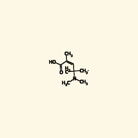 [CH2]C(C)(C=C(C)C(=O)O)N(C)C